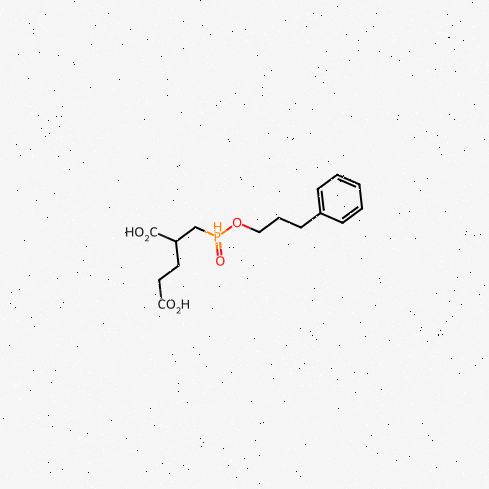 O=C(O)CCC(C[PH](=O)OCCCc1ccccc1)C(=O)O